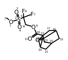 COS(=O)(=O)C(F)(F)COC(=O)C12CC3CC(C1)C(=O)C(C3)C2